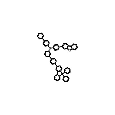 c1ccc(-c2ccc(N(c3ccc(-c4ccc5c(c4)oc4ccccc45)cc3)c3cccc(-c4ccc(-c5ccc6c(c5)-c5ccccc5C6(c5ccccc5)c5ccccc5)cc4)c3)cc2)cc1